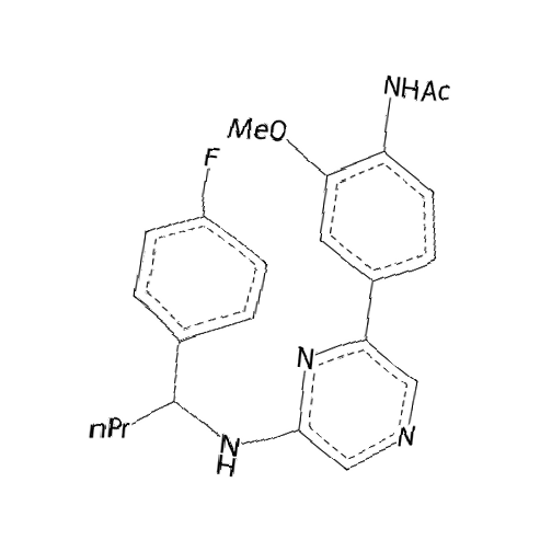 CCCC(Nc1cncc(-c2ccc(NC(C)=O)c(OC)c2)n1)c1ccc(F)cc1